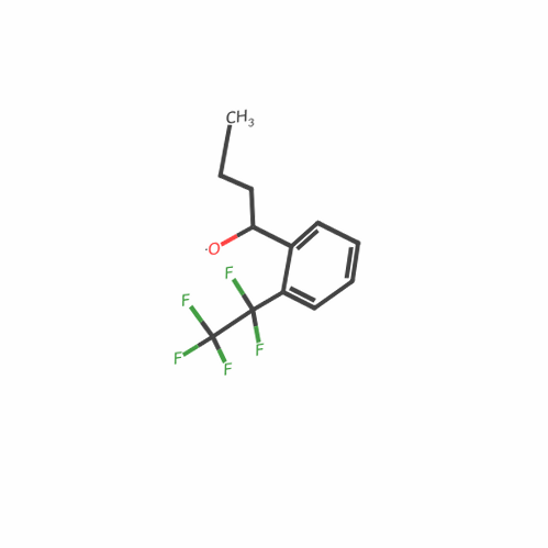 CCCC([O])c1ccccc1C(F)(F)C(F)(F)F